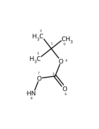 CC(C)(C)OC(=O)O[NH]